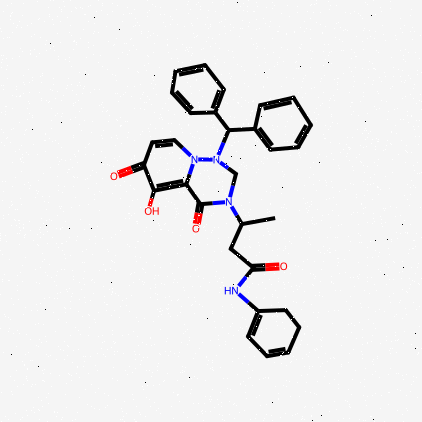 CC(CC(=O)NC1=CC=CCC1)N1CN(C(c2ccccc2)c2ccccc2)n2ccc(=O)c(O)c2C1=O